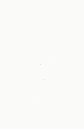 CCCCCCCCCCC(O)CSCCO